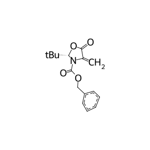 C=C1C(=O)O[C@@H](C(C)(C)C)N1C(=O)OCc1ccccc1